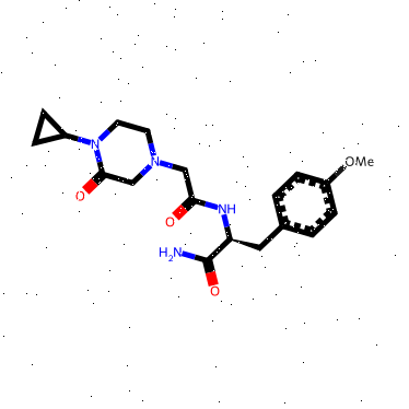 COc1ccc(C[C@H](NC(=O)CN2CCN(C3CC3)C(=O)C2)C(N)=O)cc1